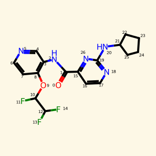 O=C(Nc1cnccc1OC(F)C(F)F)c1ccnc(NC2CCCC2)n1